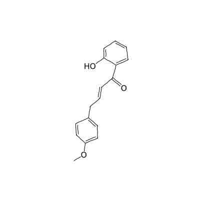 COc1ccc(C/C=C/C(=O)c2ccccc2O)cc1